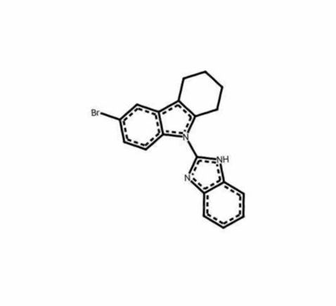 Brc1ccc2c(c1)c1c(n2-c2nc3ccccc3[nH]2)CCCC1